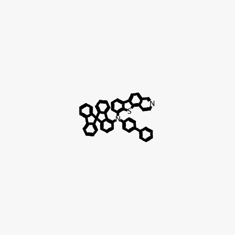 c1ccc(-c2ccc(N(c3cccc4c3-c3ccccc3C43c4ccccc4-c4ccccc43)c3cccc4c3sc3c5ccncc5ccc43)cc2)cc1